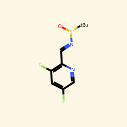 CC(C)(C)[S+]([O-])/N=C/c1ncc(F)cc1F